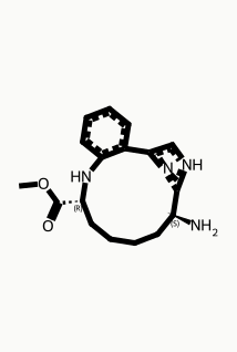 COC(=O)[C@H]1CCCC[C@H](N)c2nc(c[nH]2)-c2ccccc2N1